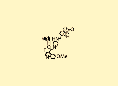 COc1ccc2ncc(F)c(C(O)CN3CCC(NCc4ccc5c(n4)NC(=O)CO5)CC3)c2c1.Cl.Cl